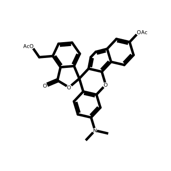 CC(=O)OCc1cccc2c1C(=O)OC21c2ccc(N(C)C)cc2Oc2c1ccc1cc(OC(C)=O)ccc21